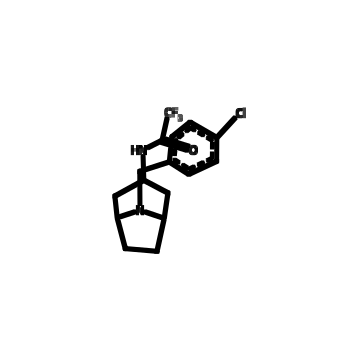 O=C(NC1CC2CCC(C1)N2Cc1ccc(Cl)cc1)C(F)(F)F